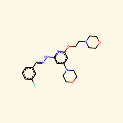 Fc1cccc(/C=N/Nc2cc(N3CCOCC3)cc(OCCN3CCOCC3)n2)c1